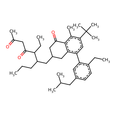 CCCC(CC1CC(=O)c2c(C)c(C(C)(C)C)cc(-c3cc(CC(C)C)ccc3CC)c2C1)C(CC)C(=O)CC(C)=O